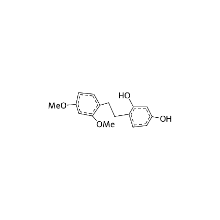 COc1ccc(CCc2ccc(O)cc2O)c(OC)c1